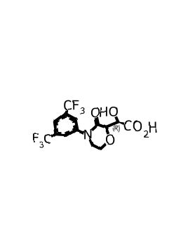 O=C(O)[C@H](O)C1OCCN(c2cc(C(F)(F)F)cc(C(F)(F)F)c2)C1=O